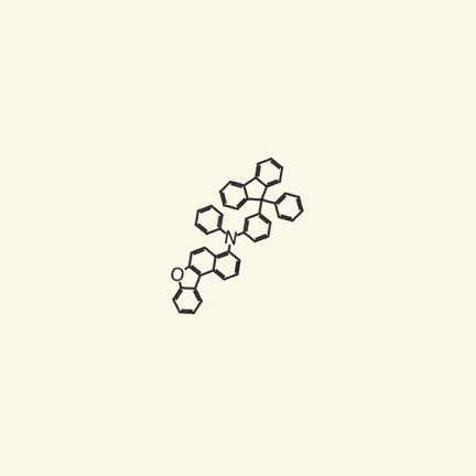 c1ccc(N(c2cccc(C3(c4ccccc4)c4ccccc4-c4ccccc43)c2)c2cccc3c2ccc2oc4ccccc4c23)cc1